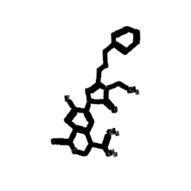 C=C(C)C1COC(=O)c2cc(F)c(-n3nc(COCc4ccccc4)n(CC)c3=O)cc21